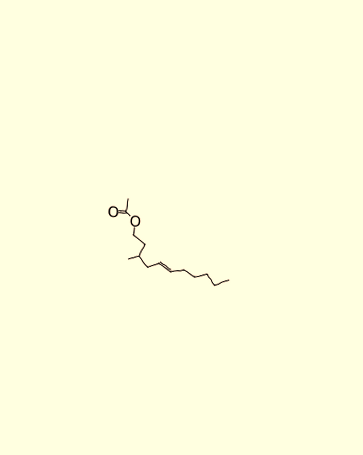 CCCCCC=CCC(C)CCOC(C)=O